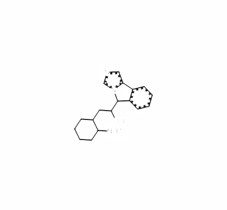 CC(=O)NC1CCCCC1CC(O)C1c2ccccc2-c2cncn21